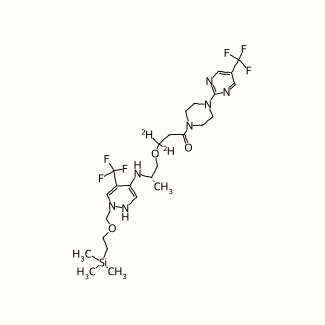 [2H]C([2H])(CC(=O)N1CCN(c2ncc(C(F)(F)F)cn2)CC1)OC[C@H](C)NC1=CNN(COCC[Si](C)(C)C)C=C1C(F)(F)F